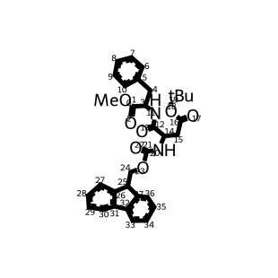 COC(=O)C(Cc1ccccc1)NC(=O)C(CC(=O)OC(C)(C)C)NC(=O)OCC1c2ccccc2-c2ccccc21